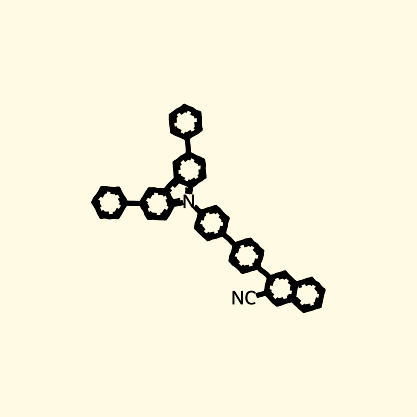 N#Cc1cc2ccccc2cc1-c1ccc(-c2ccc(-n3c4ccc(-c5ccccc5)cc4c4cc(-c5ccccc5)ccc43)cc2)cc1